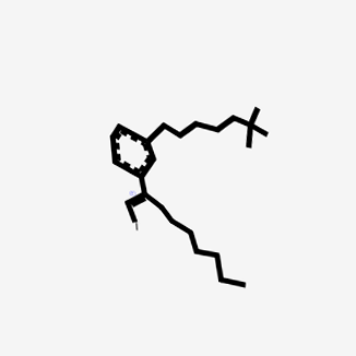 CCCCCCC/C(=C\I)c1cccc(CCCCCC(C)(C)C)c1